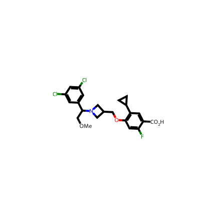 COCC(c1cc(Cl)cc(Cl)c1)N1CC(COc2cc(F)c(C(=O)O)cc2C2CC2)C1